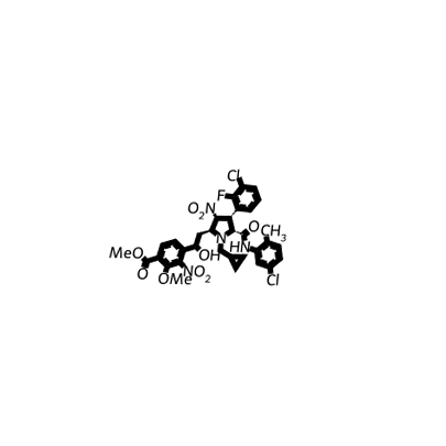 COC(=O)c1ccc(C(O)C[C@H]2[C@@H]([N+](=O)[O-])[C@H](c3cccc(Cl)c3F)[C@H](C(=O)Nc3cc(Cl)ccc3C)N2CC2CC2)c([N+](=O)[O-])c1OC